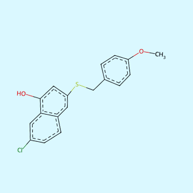 COc1ccc(CSc2cc(O)c3cc(Cl)ccc3c2)cc1